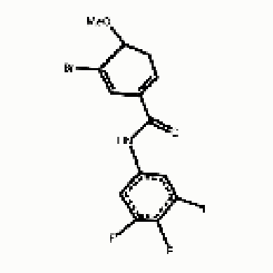 COC1CC=C(C(=O)Nc2cc(F)c(F)c(F)c2)C=C1Br